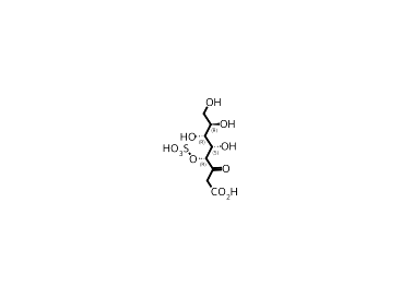 O=C(O)CC(=O)[C@H](OS(=O)(=O)O)[C@@H](O)[C@H](O)[C@H](O)CO